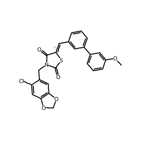 COc1cccc(-c2cccc(/C=C3\SC(=O)N(Cc4cc5c(cc4Cl)OCO5)C3=O)c2)c1